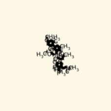 CCOC(=O)C[C@H](NC(=O)C(CC(C)C)n1cc(CCN(C)C)c(C(F)(F)F)c(F)c1=O)c1cc(-c2c(C)cc(OC)cc2C)cc(C)c1F